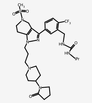 CC(C)NC(=O)NCc1cc(-c2nn(CCCN3CCC(N4CCCC4=O)CC3)c3c2CN(S(C)(=O)=O)CC3)ccc1C(F)(F)F